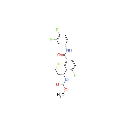 COC(=O)NC1CCSc2c(C(=O)Nc3ccc(F)c(F)c3)ccc(F)c21